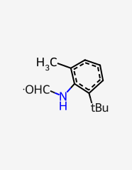 Cc1cccc(C(C)(C)C)c1N[C]=O